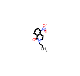 CCCn1ccc2c([N+](=O)[O-])cccc2c1=O